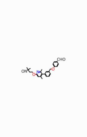 Cc1cc(OCCC(C)(C)N=O)nc(C)c1-c1cccc(COc2ccc(C=O)cc2)c1